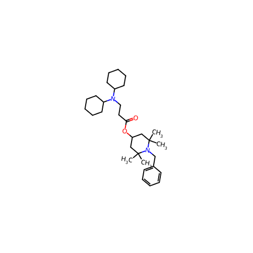 CC1(C)CC(OC(=O)CCN(C2CCCCC2)C2CCCCC2)CC(C)(C)N1Cc1ccccc1